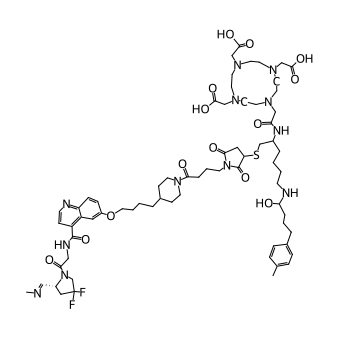 C/N=C/[C@H]1CC(F)(F)CN1C(=O)CNC(=O)c1ccnc2ccc(OCCCCC3CCN(C(=O)CCCN4C(=O)CC(SCC(CCCCNC(O)CCCc5ccc(C)cc5)NC(=O)CN5CCN(CC(=O)O)CCN(CC(=O)O)CCN(CC(=O)O)CC5)C4=O)CC3)cc12